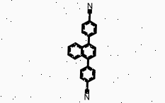 N#Cc1ccc(-c2ccc(-c3ccc(C#N)cc3)c3ccccc23)cc1